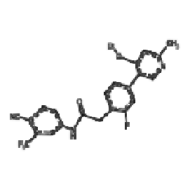 CCOc1cc(C)ncc1-c1ccc(CC(=O)Nc2ccc(C#N)c(C(F)(F)F)c2)c(F)c1